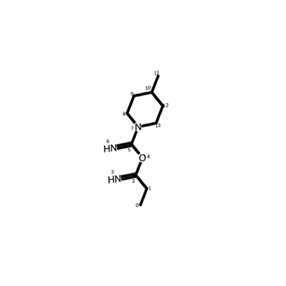 CCC(=N)OC(=N)N1CCC(C)CC1